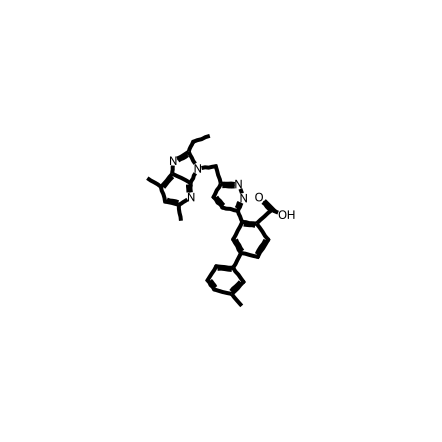 CCc1nc2c(C)cc(C)nc2n1Cc1ccc(-c2cc(-c3cccc(C)c3)ccc2C(=O)O)nn1